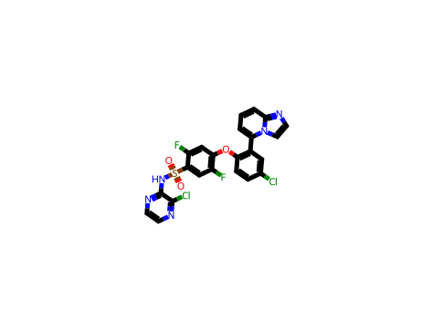 O=S(=O)(Nc1nccnc1Cl)c1cc(F)c(Oc2ccc(Cl)cc2-c2cccc3nccn23)cc1F